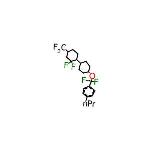 CCCc1ccc(C(F)(F)OC2CCC(C3CCC(C(F)(F)F)CC3(F)F)CC2)cc1